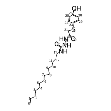 CCCCCCCCCCCCCCNC(=O)NNC(=O)CSc1ccc(O)cc1